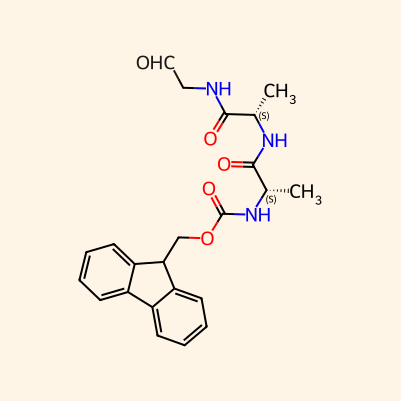 C[C@H](NC(=O)OCC1c2ccccc2-c2ccccc21)C(=O)N[C@@H](C)C(=O)NCC=O